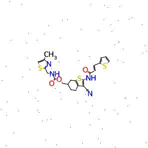 Cc1csc(CNC(=O)OCC2CCc3c(sc(NC(=O)C=Cc4cccs4)c3C#N)C2)n1